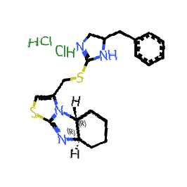 C1=C(CSC2=NCC(Cc3ccccc3)N2)N2C(=N[C@@H]3CCCC[C@H]32)S1.Cl.Cl